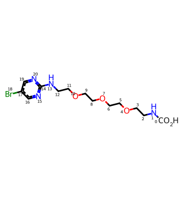 O=C(O)NCCOCCOCCOCCNc1ncc(Br)cn1